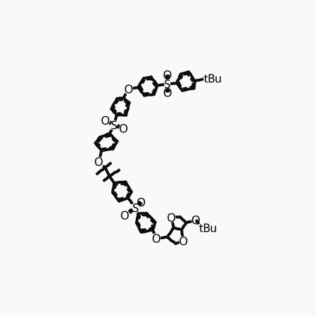 CC(C)(C)OC1COC2C(Oc3ccc(S(=O)(=O)c4ccc(C(C)(C)C(C)(C)Oc5ccc(S(=O)(=O)c6ccc(Oc7ccc(S(=O)(=O)c8ccc(C(C)(C)C)cc8)cc7)cc6)cc5)cc4)cc3)COC12